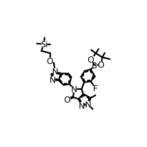 Cc1c2c(nn1C)C(=O)N(c1ccc3c(c1)ncn3COCC[Si](C)(C)C)C2c1ccc(B2OC(C)(C)C(C)(C)O2)cc1F